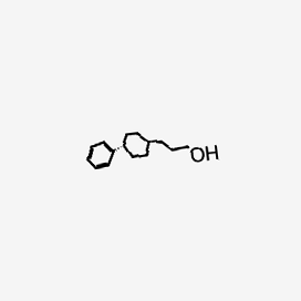 OCCC[C@H]1CC[C@H](c2ccccc2)CC1